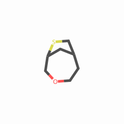 C1CC2CSC(CO1)C2